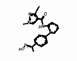 C/C(=N\O)c1ccc(-c2ccccc2NC(=O)c2cn(C)nc2C)cc1